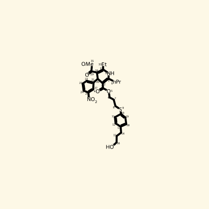 CCCC1=C(C(=O)OCCCSc2ccc(CCCO)cc2)C(c2cccc([N+](=O)[O-])c2)C(C(=O)OC)=C(CC)N1